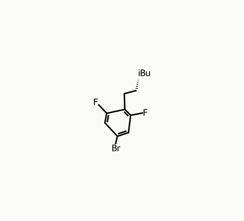 CC[C@@H](C)CCc1c(F)cc(Br)cc1F